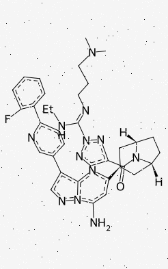 CCN/C(=N\CCCN(C)C)n1ncc(C(=O)N2[C@@H]3CC[C@H]2C[C@H](c2cc(N)n4ncc(-c5ccc(-c6ccccc6F)nc5)c4n2)C3)n1